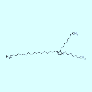 CCCCCCCCCCCCCCCCCC[n+]1ccn(CCCCCCC)c1CCCCCCCC